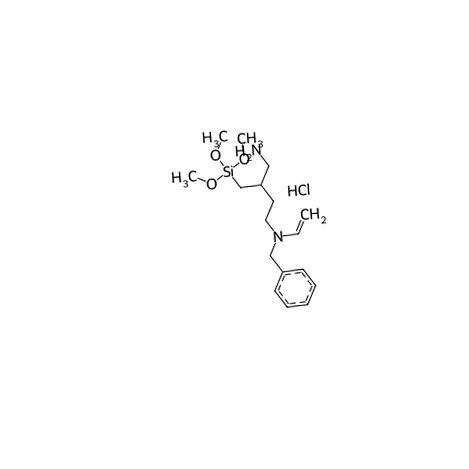 C=CN(CCC(CN)C[Si](OC)(OC)OC)Cc1ccccc1.Cl